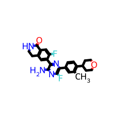 Cc1cc(-c2nc(-c3cc4c(cc3F)C(=O)NCC4)c(N)nc2F)ccc1C1CCOCC1